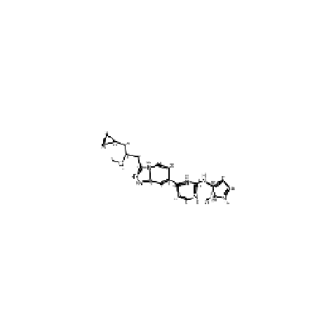 COC(Cc1nnc2cc(-c3ccnc(Nc4ccnn4C)n3)ccn12)CC1CC1